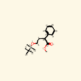 COC(=O)C(CCO[Si](C)(C)C(C)(C)C)c1ccccc1